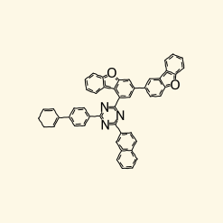 C1=CC(c2ccc(-c3nc(-c4ccc5ccccc5c4)nc(-c4cc(-c5ccc6oc7ccccc7c6c5)cc5oc6ccccc6c45)n3)cc2)=CCC1